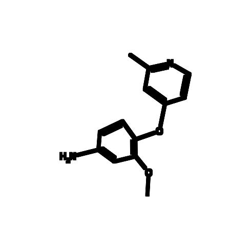 COc1cc(N)ccc1Oc1ccnc(C)c1